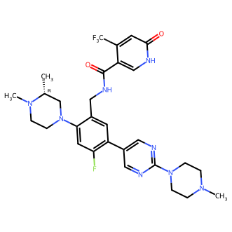 C[C@@H]1CN(c2cc(F)c(-c3cnc(N4CCN(C)CC4)nc3)cc2CNC(=O)c2c[nH]c(=O)cc2C(F)(F)F)CCN1C